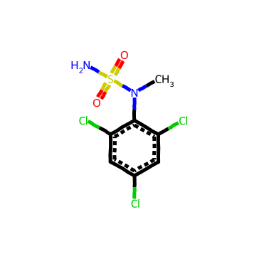 CN(c1c(Cl)cc(Cl)cc1Cl)S(N)(=O)=O